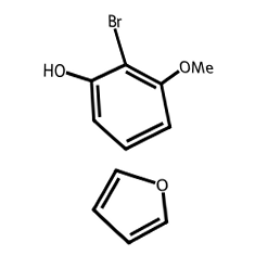 COc1cccc(O)c1Br.c1ccoc1